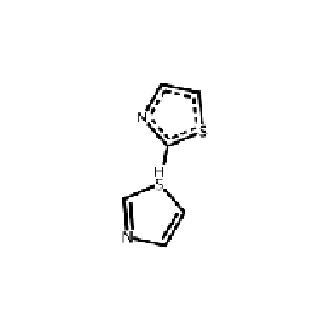 C1=C[SH](c2nccs2)C=N1